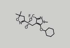 Cn1nc(C(F)(F)F)c(CS(=O)(=O)C2=NOC(C)(C)C2)c1OC1CCCCC1